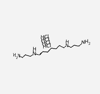 Cl.Cl.Cl.Cl.NCCCNCCCCCCCNCCCN